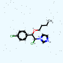 CCCCOC(c1ccc(Cl)cc1)C(Cl)n1ccnc1